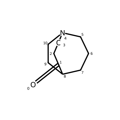 O=C1CCN2CCCC1CC2